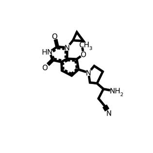 COc1c(N2CCC(C(N)CC#N)C2)ccc2c(=O)[nH]c(=O)n(C3CC3)c12